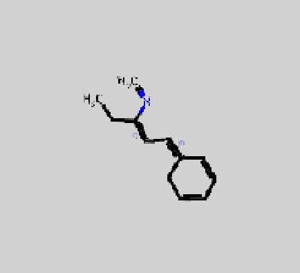 C=N/C(=C\C=C1\C=CC=CC1)CC